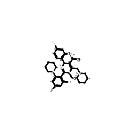 CCN1C(c2c(F)cc(F)cc2N2CCCCC2)=NC(c2ccc(F)cc2Cl)C(C(=O)O)=C1CN1CCCCC1